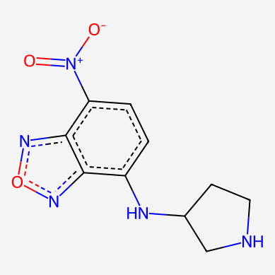 O=[N+]([O-])c1ccc(NC2CCNC2)c2nonc12